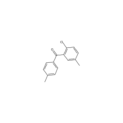 Cc1ccc(C(=O)c2cc(C)ccc2Cl)cc1